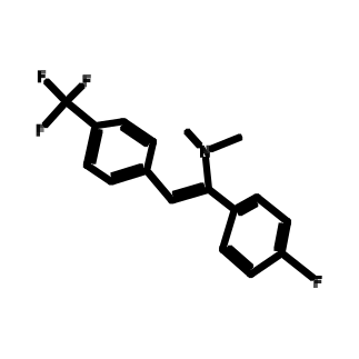 CN(C)/C(=C\c1ccc(C(F)(F)F)cc1)c1ccc(F)cc1